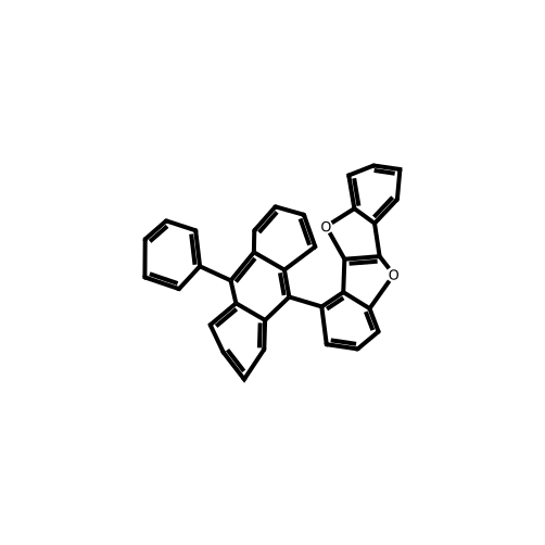 c1ccc(-c2c3ccccc3c(-c3cccc4oc5c6ccccc6oc5c34)c3ccccc23)cc1